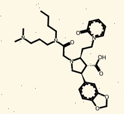 CCCCN(CCCN(C)C)C(=O)CN1C[C@H](c2ccc3c(c2)OCO3)[C@@H](C(=O)O)[C@@H]1CCn1ccccc1=O